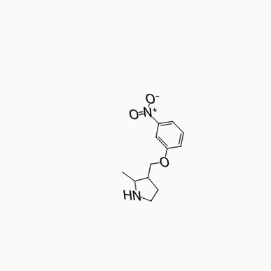 CC1NCCC1COc1cccc([N+](=O)[O-])c1